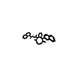 C=c1ccccc(=C)c(-c2ccc3ccccc3c2)c2ccccc2c1/C(C)=C/C=C(\C)c1cccc2ccccc12